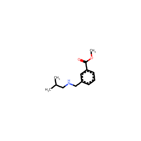 COC(=O)c1cccc(CNCC(C)C)c1